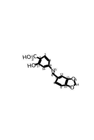 O=C(O)c1ccc(N=Cc2ccc3c(c2)OCO3)cc1O